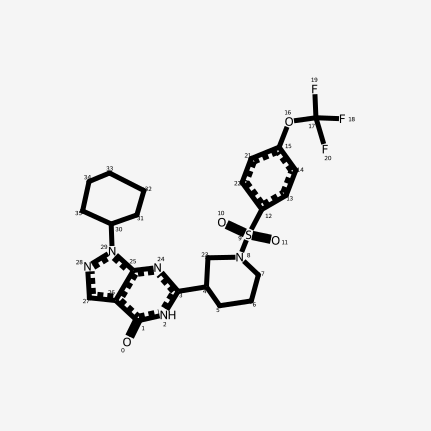 O=c1[nH]c(C2CCCN(S(=O)(=O)c3ccc(OC(F)(F)F)cc3)C2)nc2c1cnn2C1CCCCC1